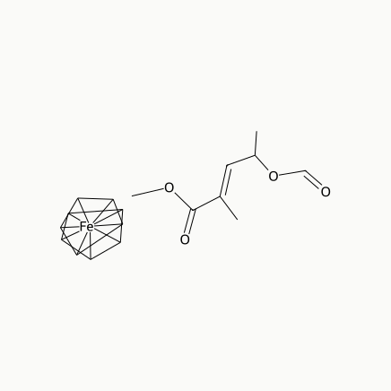 COC(=O)C(C)=CC(C)OC=O.[CH]12[CH]3[CH]4[CH]5[CH]1[Fe]23451678[CH]2[CH]1[CH]6[CH]7[CH]28